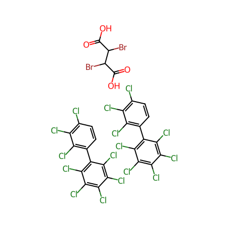 Clc1ccc(-c2c(Cl)c(Cl)c(Cl)c(Cl)c2Cl)c(Cl)c1Cl.Clc1ccc(-c2c(Cl)c(Cl)c(Cl)c(Cl)c2Cl)c(Cl)c1Cl.O=C(O)C(Br)C(Br)C(=O)O